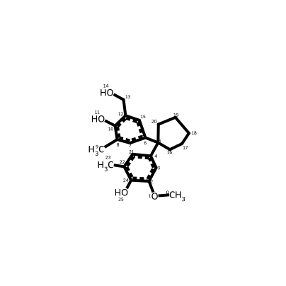 COc1cc(C2(c3cc(C)c(O)c(CO)c3)CCCCC2)cc(C)c1O